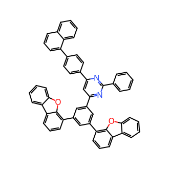 c1ccc(-c2nc(-c3ccc(-c4cccc5ccccc45)cc3)cc(-c3cc(-c4cccc5c4oc4ccccc45)cc(-c4cccc5c4oc4ccccc45)c3)n2)cc1